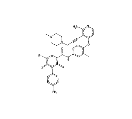 Cc1cc(NC(=O)c2cn(C(C)C)c(=O)n(-c3ccc(P)cc3)c2=O)ccc1Oc1ccnc(N)c1C#CCN1CCN(C)CC1